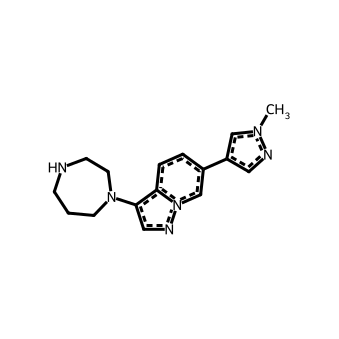 Cn1cc(-c2ccc3c(N4CCCNCC4)cnn3c2)cn1